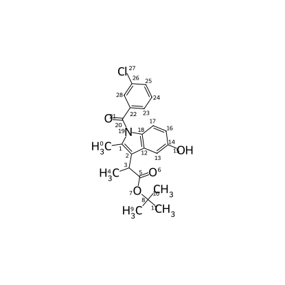 Cc1c(C(C)C(=O)OC(C)(C)C)c2cc(O)ccc2n1C(=O)c1cccc(Cl)c1